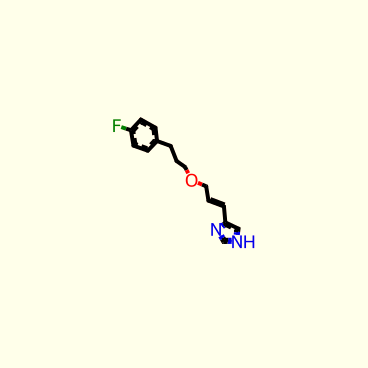 Fc1ccc(CCCOCC=Cc2c[nH]cn2)cc1